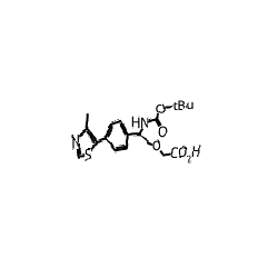 Cc1ncsc1-c1ccc([C@H](COCC(=O)O)NC(=O)OC(C)(C)C)cc1